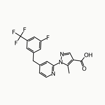 Cc1c(C(=O)O)cnn1-c1cc(Cc2cc(F)cc(C(F)(F)F)c2)ccn1